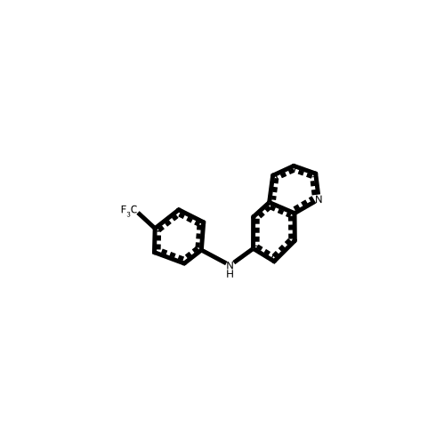 FC(F)(F)c1ccc(Nc2ccc3ncccc3c2)cc1